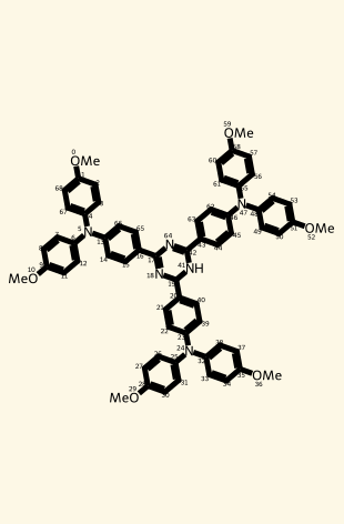 COc1ccc(N(c2ccc(OC)cc2)c2ccc(C3=NC(c4ccc(N(c5ccc(OC)cc5)c5ccc(OC)cc5)cc4)NC(c4ccc(N(c5ccc(OC)cc5)c5ccc(OC)cc5)cc4)=N3)cc2)cc1